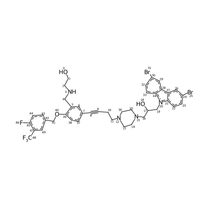 OCCNCc1cc(C#CCCN2CCN(CC(O)Cn3c4ccc(Br)cc4c4cc(Br)ccc43)CC2)ccc1OCc1ccc(F)c(C(F)(F)F)c1